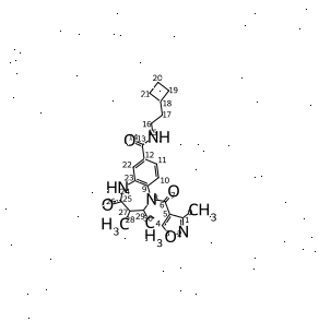 Cc1nocc1C(=O)N1c2ccc(C(=O)NCCC3CCC3)cc2NC(=O)C(C)C1C